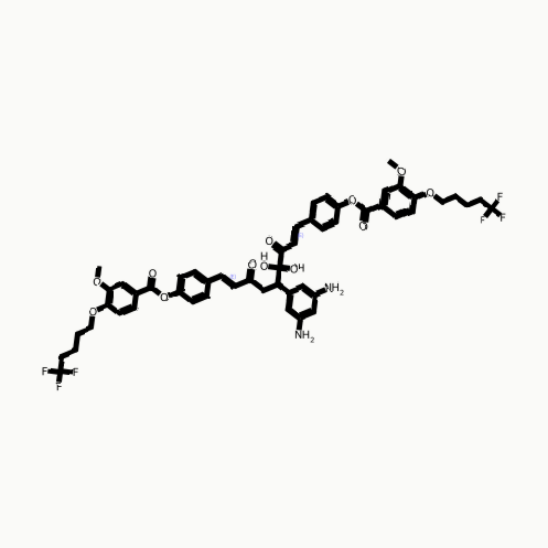 COc1cc(C(=O)Oc2ccc(/C=C/C(=O)CC(c3cc(N)cc(N)c3)C(O)(O)C(=O)/C=C/c3ccc(OC(=O)c4ccc(OCCCCC(F)(F)F)c(OC)c4)cc3)cc2)ccc1OCCCCC(F)(F)F